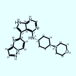 c1nc(N[C@H]2CC[C@H](N3CCOCC3)CC2)c2c(-c3ccn4nccc4n3)c[nH]c2n1